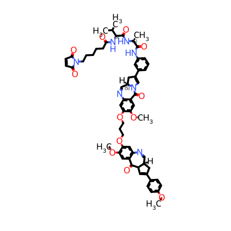 COc1ccc(C2=CC3C(=O)c4cc(OC)c(OCCCOc5cc6c(cc5OC)C(=O)N5C=C(c7cccc(NC(=O)[C@H](C)NC(=O)[C@@H](NC(=O)CCCCCN8C(=O)C=CC8=O)C(C)C)c7)C[C@H]5C=N6)cc4N=C[C@@H]3C2)cc1